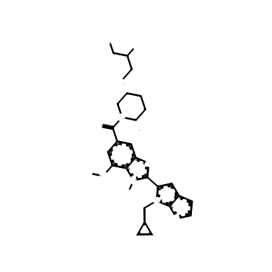 CCC(C)CC[C@@H]1CC[C@H](C)N(C(=O)c2cc(OC)c3c(c2)nc(-c2cc4ccsc4n2CC2CC2)n3C)C1